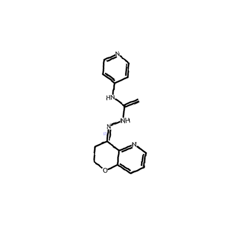 C=C(N/N=C1/CCOc2cccnc21)Nc1ccncc1